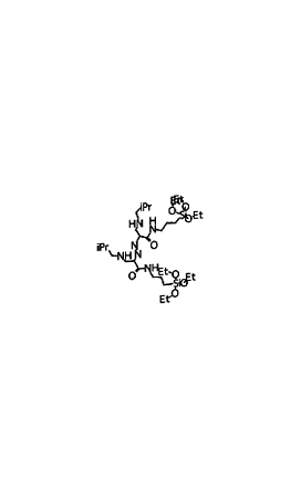 CCO[Si](CCCNC(=O)C(CNCC(C)C)N=NC(CNCC(C)C)C(=O)NCCC[Si](OCC)(OCC)OCC)(OCC)OCC